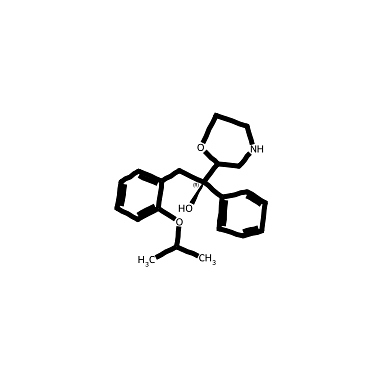 CC(C)Oc1ccccc1C[C@@](O)(c1ccccc1)C1CNCCO1